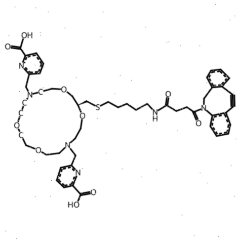 O=C(CCC(=O)N1Cc2ccccc2C#Cc2ccccc21)NCCCCCSC[C@@H]1COCCN(Cc2cccc(C(=O)O)n2)CCOCCOCCN(Cc2cccc(C(=O)O)n2)CCO1